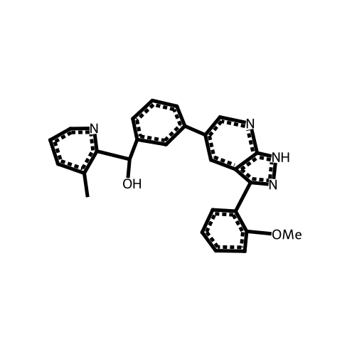 COc1ccccc1-c1n[nH]c2ncc(-c3cccc(C(O)c4ncccc4C)c3)cc12